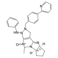 CC1N2C(=N[C@H]3CCC[C@H]32)C2=C(N(Nc3ccccc3)N(Cc3ccc(-c4ccccn4)cc3)C2)[N+]1=O